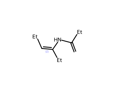 C=C(CC)N/C(=C\CC)CC